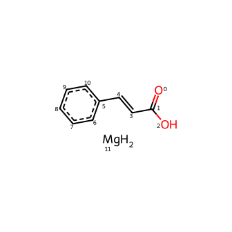 O=C(O)/C=C/c1ccccc1.[MgH2]